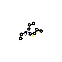 c1ccc(-c2cccc(-c3ccc(N(c4ccc(-c5cccc(-c6ccccc6)c5)cc4)c4ccc5sc6ccc(-c7cccc8c7sc7ccccc78)cc6c5c4)cc3)c2)cc1